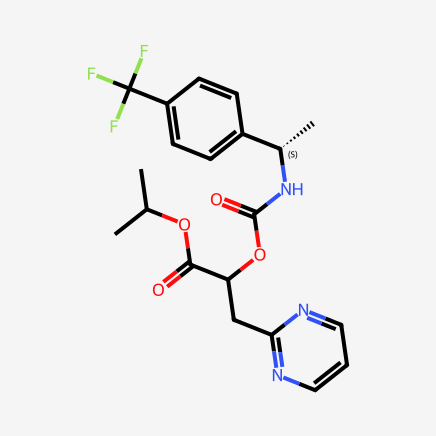 CC(C)OC(=O)C(Cc1ncccn1)OC(=O)N[C@@H](C)c1ccc(C(F)(F)F)cc1